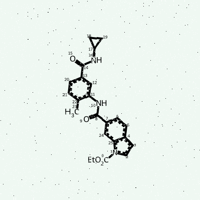 CCOC(=O)n1ccc2ccc(C(=O)Nc3cc(C(=O)NC4CC4)ccc3C)cc21